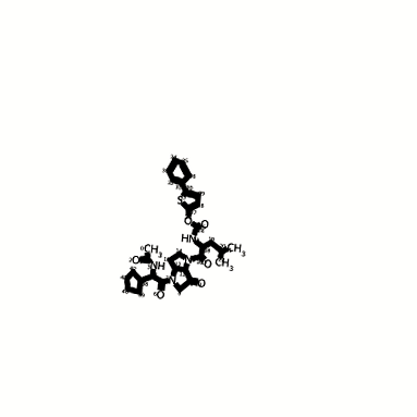 CC(=O)NC(C(=O)N1CC(=O)C2C1CCN2C(=O)C(CC(C)C)NC(=O)Oc1ccc(-c2ccccc2)s1)C1CCCC1